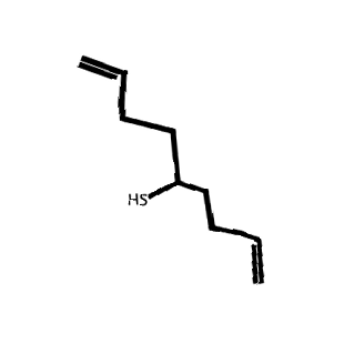 C=CCCC(S)CCC=C